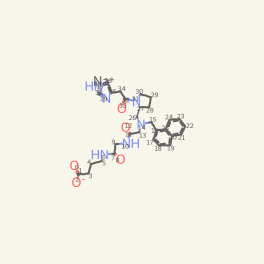 O=C([O-])CCCNC(=O)CNC(=O)CN(Cc1cccc2ccccc12)C[C@@H]1CCCN1C(=O)Cc1c[nH]cn1.[Na+]